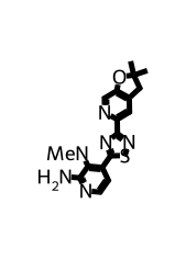 CNc1c(-c2nc(-c3cc4c(cn3)OC(C)(C)C4)ns2)ccnc1N